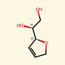 OC[C@H](O)[C@@H]1C=CCO1